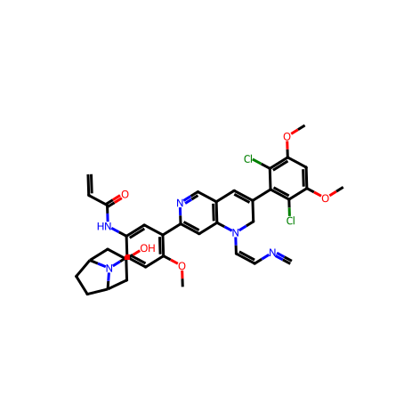 C=CC(=O)Nc1cc(-c2cc3c(cn2)C=C(c2c(Cl)c(OC)cc(OC)c2Cl)CN3/C=C\N=C)c(OC)cc1N1C2CCC1CC(O)C2